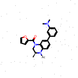 CC(=O)N1c2ccc(-c3cccc(N(C)C)c3)cc2N(C(=O)c2ccco2)C[C@@H]1C